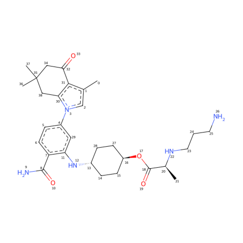 Cc1cn(-c2ccc(C(N)=O)c(N[C@H]3CC[C@H](OC(=O)[C@H](C)NCCCN)CC3)c2)c2c1C(=O)CC(C)(C)C2